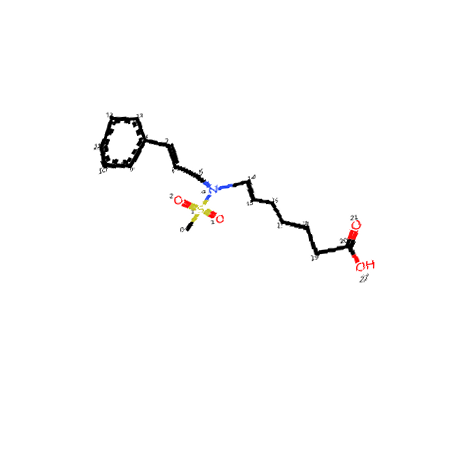 CS(=O)(=O)N(CC=Cc1ccccc1)CCCCCCC(=O)O